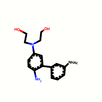 CC(=O)Nc1cccc(-c2cc(N(CCO)CCO)ccc2N)c1